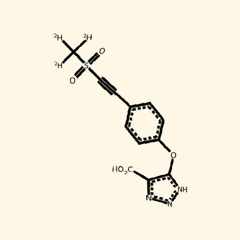 [2H]C([2H])([2H])S(=O)(=O)C#Cc1ccc(Oc2[nH]nnc2C(=O)O)cc1